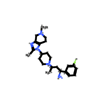 CCOC(=O)N1CCc2c(nc(C)n2C2CCN(C(C)C[C@H](N)c3cccc(F)c3)CC2)C1